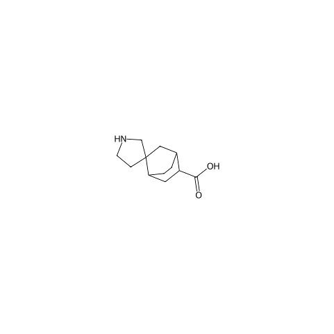 O=C(O)C1CC2CCC1CC21CCNC1